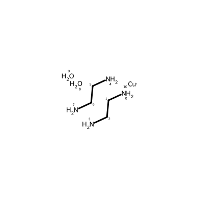 NCCN.NCCN.O.O.[Cu]